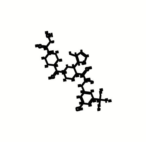 Cc1ccsc1C1CN(C(=O)C2CCN(C(=O)CO)CC2)CCC1C(=O)N(C)Cc1cc(Cl)cc(C(F)(F)F)c1